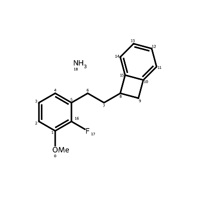 COc1cccc(CCC2Cc3ccccc32)c1F.N